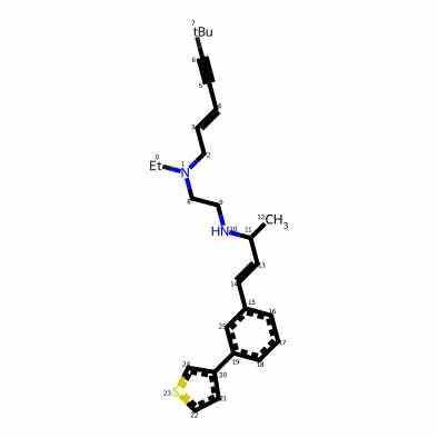 CCN(C/C=C/C#CC(C)(C)C)CCNC(C)/C=C/c1cccc(-c2ccsc2)c1